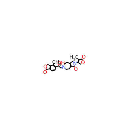 CC1=C(N2CC3=C(CCN(C[C@H](O)c4ccc5c(c4C)COC5=O)CC3)C2=O)COC1=O